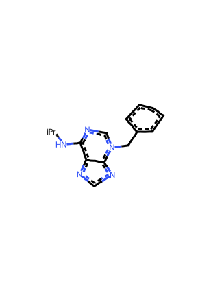 CC(C)Nc1ncn(Cc2ccccc2)c2ncnc1-2